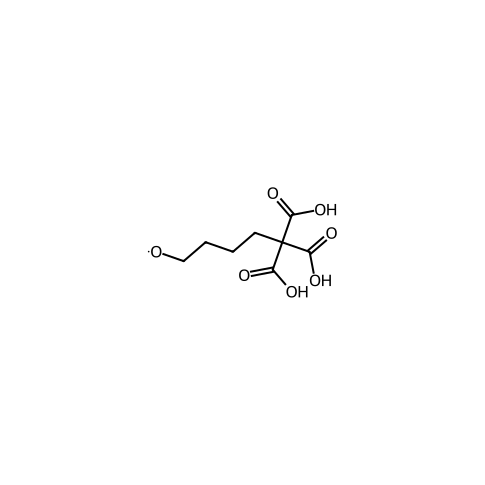 [O]CCCCC(C(=O)O)(C(=O)O)C(=O)O